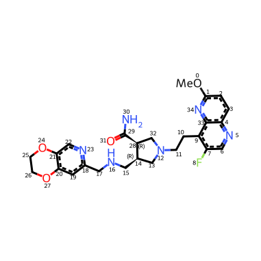 COc1ccc2ncc(F)c(CCN3C[C@@H](CNCc4cc5c(cn4)OCCO5)[C@@H](C(N)=O)C3)c2n1